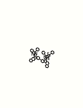 c1ccc(-c2cc3nc(-n4c5cc(-c6ccc7c(c6)c6cc8ccccc8cc6n7-c6nc(-c7ccccc7)c7ccccc7n6)ccc5c5c6ccccc6ccc54)nc(-c4ccccc4)c3s2)cc1